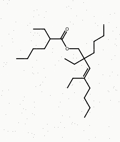 CCCC/C(=C/C(CC)(CCCC)COC(=O)C(CC)CCCC)CC